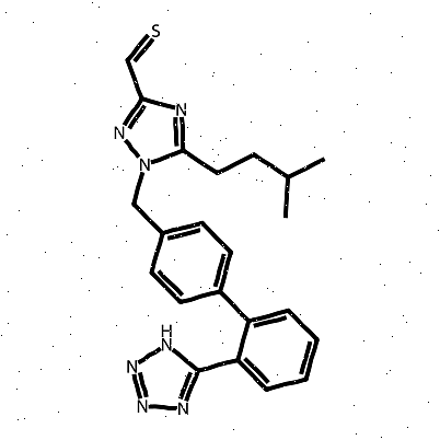 CC(C)CCc1nc(C=S)nn1Cc1ccc(-c2ccccc2-c2nnn[nH]2)cc1